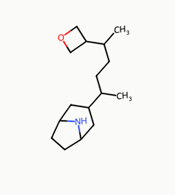 CC(CCC(C)C1CC2CCC(C1)N2)C1COC1